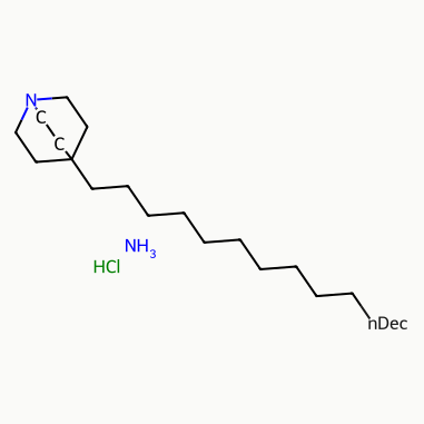 CCCCCCCCCCCCCCCCCCCCC12CCN(CC1)CC2.Cl.N